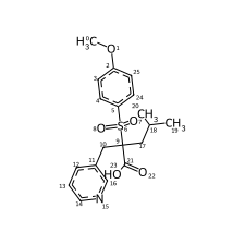 COc1ccc(S(=O)(=O)C(Cc2cccnc2)(CC(C)C)C(=O)O)cc1